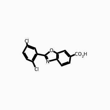 O=C(O)c1ccc2nc(-c3cc(Cl)ccc3Cl)oc2c1